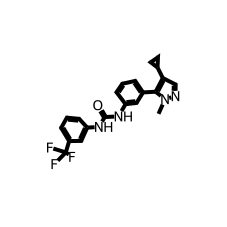 Cn1ncc(C2CC2)c1-c1cccc(NC(=O)Nc2cccc(C(F)(F)F)c2)c1